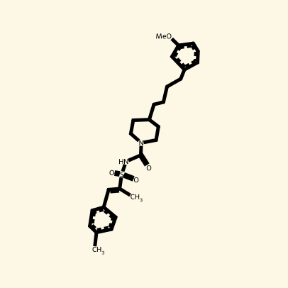 COc1cccc(CCCCC2CCN(C(=O)NS(=O)(=O)/C(C)=C/c3ccc(C)cc3)CC2)c1